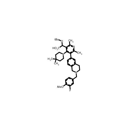 COc1ccc(CN2CCc3cc(-c4c(C)nc(C)c(C(OC(C)(C)C)C(=O)O)c4N4CCC(C)(C)CC4)ccc3C2)cc1F